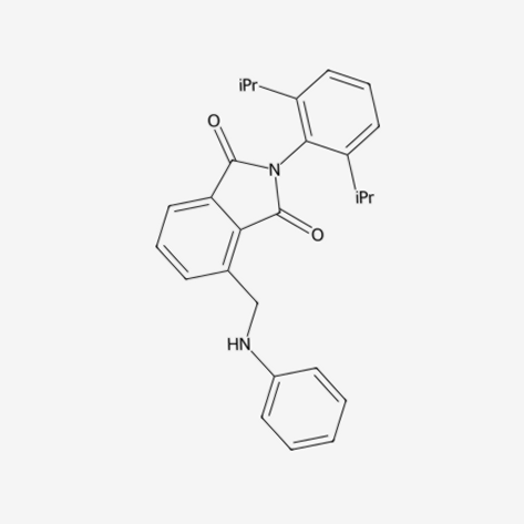 CC(C)c1cccc(C(C)C)c1N1C(=O)c2cccc(CNc3ccccc3)c2C1=O